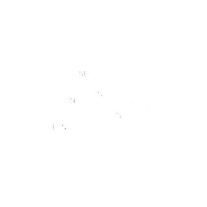 NC1=NC(N2CCCCC2)=CC(N)N1[O]